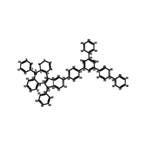 C1=CC2=C(CC1)N(c1ccccc1)c1ccccc1-c1c2c2cc(-c3ccc(-c4cc(-c5ccc(-c6ccccc6)cc5)nc(-c5ccccc5)n4)cc3)ccc2n1-c1ccccc1